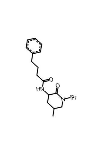 CC1CC(NC(=O)CCCc2ccccc2)C(=O)N(C(C)C)C1